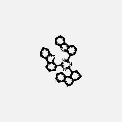 c1ccc2c(c1)ccc1cccc(-c3nc(-c4cccc5c4sc4ccccc45)nc(-c4cccc5c4sc4ccccc45)n3)c12